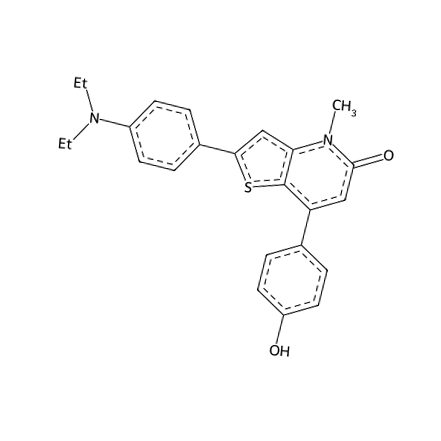 CCN(CC)c1ccc(-c2cc3c(s2)c(-c2ccc(O)cc2)cc(=O)n3C)cc1